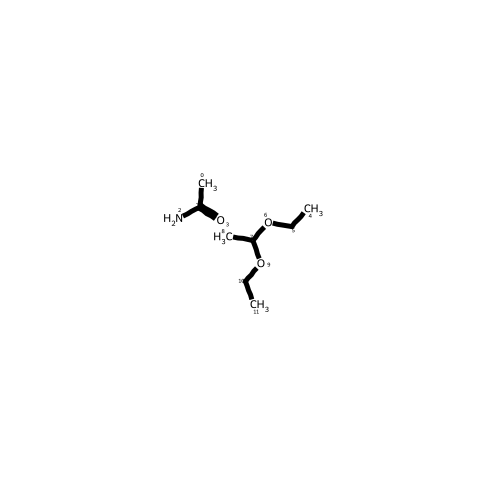 CC(N)=O.CCOC(C)OCC